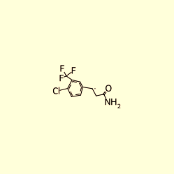 NC(=O)C[CH]c1ccc(Cl)c(C(F)(F)F)c1